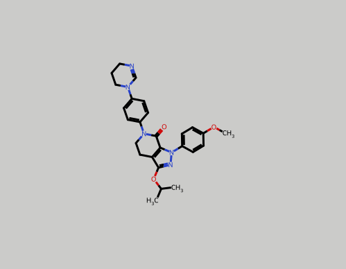 COc1ccc(-n2nc(OC(C)C)c3c2C(=O)N(c2ccc(N4C=NCCC4)cc2)CC3)cc1